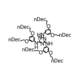 CCCCCCCCCCCCOc1cc(Nc2nc(Nc3cc(OCCCCCCCCCCCC)cc(OCCCCCCCCCCCC)c3)nc(Nc3cc(OCCCCCCCCCCCC)cc(OCCCCCCCCCCCC)c3)n2)cc(OCCCCCCCCCCCC)c1